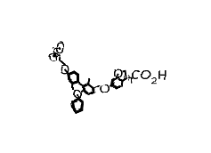 Cc1cc(OCCCS(C)(=O)=O)ccc1-c1c(Oc2ccccc2)ccc(COc2ccc3c(c2)OC[C@H]3C(C)C(=O)O)c1C